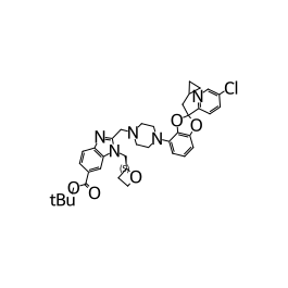 CC(C)(C)OC(=O)c1ccc2nc(CN3CCN(c4cccc5c4OC(CC4CC4)(c4ccc(Cl)cn4)O5)CC3)n(C[C@@H]3CCO3)c2c1